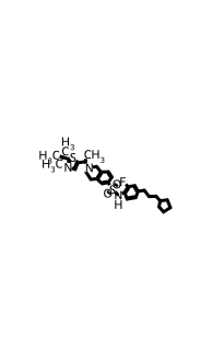 CC(c1cnc(C(C)(C)C)s1)N1CCc2cc(S(=O)(=O)Nc3ccc(CCCC4CCCC4)cc3F)ccc2C1